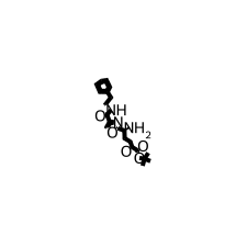 CC(C)(C)OC(=O)C(=O)CC[C@H](N)c1nc(C(=O)NCCc2ccccc2)co1